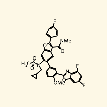 CNC(=O)c1c(-c2ccc(F)cc2)oc2cc(N(CC3CC3)S(C)(=O)=O)c(-c3ccc(OC)c(-c4nc5c(F)cc(F)cc5o4)c3)cc12